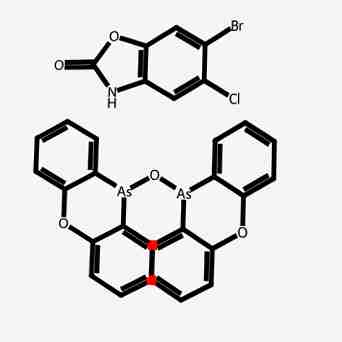 O=c1[nH]c2cc(Cl)c(Br)cc2o1.c1ccc2c(c1)Oc1ccccc1[As]2O[As]1c2ccccc2Oc2ccccc21